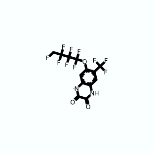 O=C1[N]c2cc(OC(F)(F)C(F)(F)C(F)(F)CF)c(C(F)(F)F)cc2NC1=O